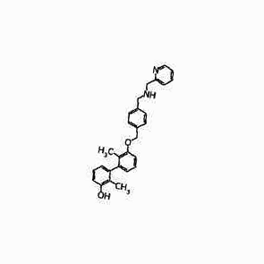 Cc1c(O)cccc1-c1cccc(OCc2ccc(CNCc3ccccn3)cc2)c1C